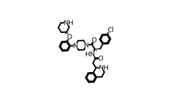 O=C(CC1NCCc2ccccc21)N[C@H](Cc1ccc(Cl)cc1)C(=O)N1CCN(c2ccccc2O[C@@H]2CCCNC2)CC1